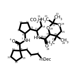 CCCCCCCCCCCCCC1(C(=O)NC2CCCC2C(CC(=O)O)NC(=O)C2OC(C)(C)OCC2(C)C)CCCC1